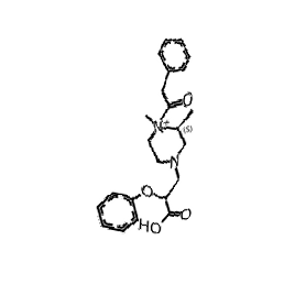 C[C@H]1CN(CC(Oc2ccccc2)C(=O)O)CC[N+]1(C)C(=O)Cc1ccccc1